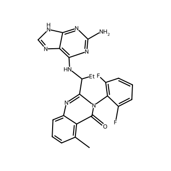 CCC(Nc1nc(N)nc2[nH]cnc12)c1nc2cccc(C)c2c(=O)n1-c1c(F)cccc1F